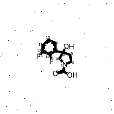 O=C(O)N1CCC(O)(c2cccc(F)c2F)C1